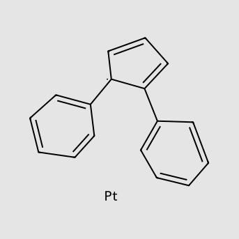 C1=C[C](c2ccccc2)C(c2ccccc2)=C1.[Pt]